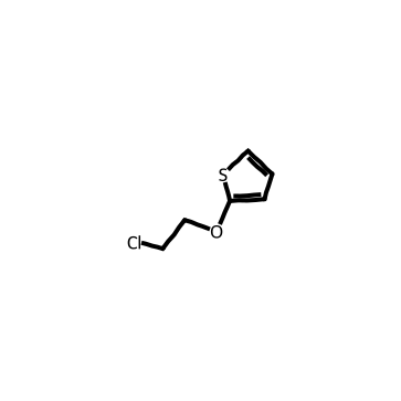 ClCCOc1cccs1